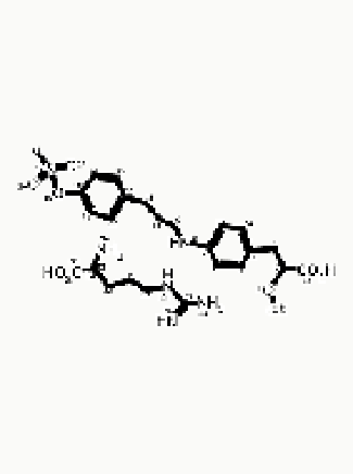 CCOC(Cc1ccc(NCCCc2ccc(OS(C)(=O)=O)cc2)cc1)C(=O)O.N=C(N)NCCC[C@H](N)C(=O)O